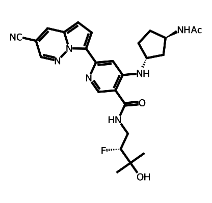 CC(=O)N[C@@H]1CC[C@@H](Nc2cc(-c3ccc4cc(C#N)cnn34)ncc2C(=O)NC[C@@H](F)C(C)(C)O)C1